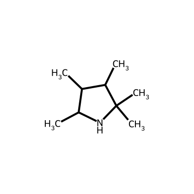 CC1NC(C)(C)C(C)C1C